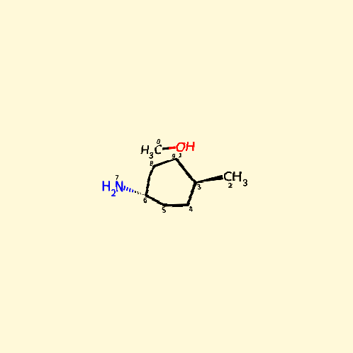 CO.C[C@H]1CC[C@H](N)CC1